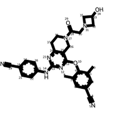 Cc1cc(C#N)cc(C)c1Oc1nc(Nc2ccc(C#N)cc2)nc2c1CN(C(=O)CN1CC(O)C1)CC2